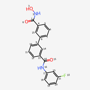 O=C(NO)c1cccc(-c2cccc(C(=O)Nc3cccc(F)c3)c2)c1